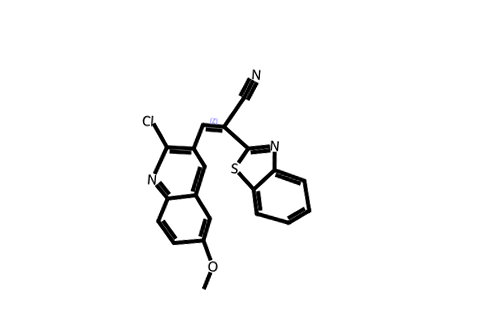 COc1ccc2nc(Cl)c(/C=C(/C#N)c3nc4ccccc4s3)cc2c1